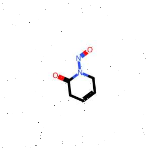 O=NN1CC=CCC1=O